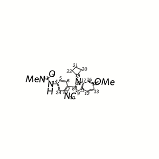 CNC(=O)Nc1ccc(-c2c(C#N)c3ccc(OC)cc3n2C2CCC2)cc1